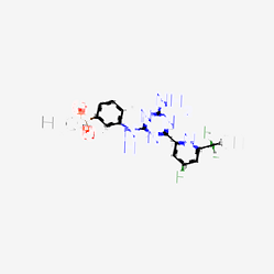 CC(F)(F)c1cc(F)cc(-c2nc(N)nc(Nc3cccc(S(C)(=O)=O)c3)n2)n1